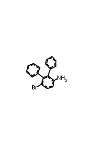 Nc1ccc(Br)c(-c2ccccc2)c1-c1ccccc1